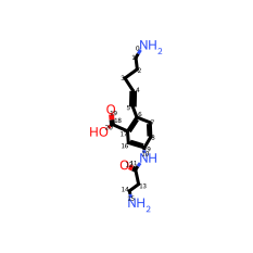 NCCCC#Cc1ccc(NC(=O)CCN)cc1C(=O)O